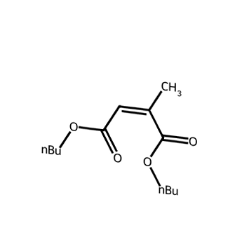 CCCCOC(=O)C=C(C)C(=O)OCCCC